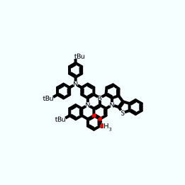 Cc1cc2c3c(c1)-n1c4sc5ccccc5c4c4cccc(c41)B3c1ccc(N(c3ccc(C(C)(C)C)cc3)c3ccc(C(C)(C)C)cc3)cc1N2c1ccc(C(C)(C)C)cc1-c1ccccc1